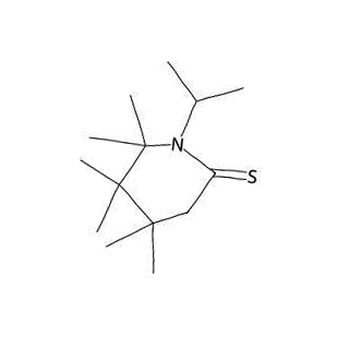 CC(C)N1C(=S)CC(C)(C)C(C)(C)C1(C)C